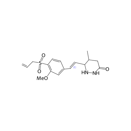 C=CCS(=O)(=O)c1ccc(/C=C/C2NNC(=O)CC2C)cc1OC